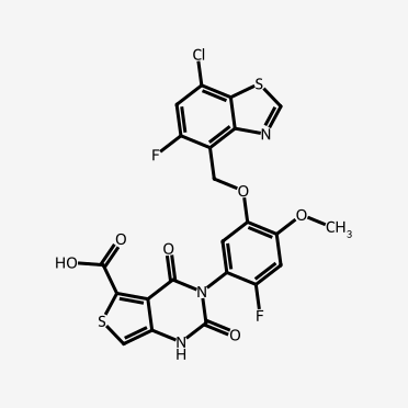 COc1cc(F)c(-n2c(=O)[nH]c3csc(C(=O)O)c3c2=O)cc1OCc1c(F)cc(Cl)c2scnc12